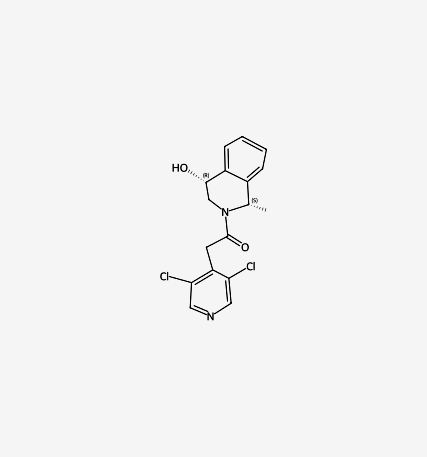 C[C@H]1c2ccccc2[C@@H](O)CN1C(=O)Cc1c(Cl)cncc1Cl